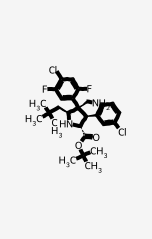 CC(C)(C)C[C@@H]1N[C@@H](C(=O)OC(C)(C)C)[C@H](c2cccc(Cl)c2)[C@@]1(CN)c1cc(F)c(Cl)cc1F